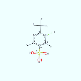 Cc1cc(C(C)(C)C)c(F)c(C)c1S(=O)(=O)O